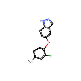 O=[N+]([O-])c1ccc(Oc2ccc3[nH]ncc3c2)c(Cl)c1